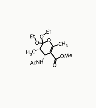 CCOC1(OCC)OC(C)=C(C(=O)OC)[C@H](NC(C)=O)[C@@H]1C